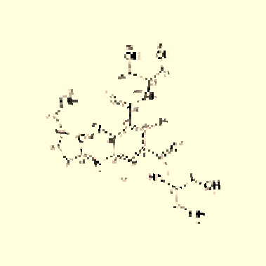 O=C(NC(CO)CO)c1c(I)c(N=C2CCC(CO)O2)c(I)c(C(=O)NC(CO)CO)c1I